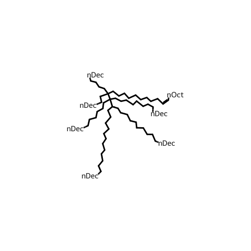 CCCCCCCC/C=C\CCCCCCCCCC(CCCCCCCCCCCC)(CCCCCCCCCCCCCC)C(CCCCCCCCCCCCCCCC)(CCCCCCCCCCCCCCCCCC)[C](CCCCCCCCCCCCCCCCCCCC)CCCCCCCCCCCCCCCCCCCCCC